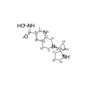 O=C(NO)c1cnc2c(c1)CCN([C@H]1CC[C@@]13CCCN3)C2